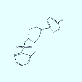 Cc1ccccc1S(=O)(=O)OC1CCN(c2ccc(Br)cc2)CC1